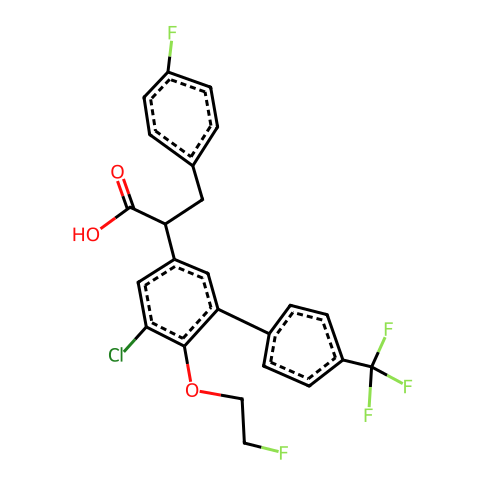 O=C(O)C(Cc1ccc(F)cc1)c1cc(Cl)c(OCCF)c(-c2ccc(C(F)(F)F)cc2)c1